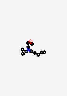 c1ccc(-c2ccccc2-c2cccc(N(c3ccc(-c4ccc(-c5cccc(-c6ccc7ccccc7c6)c5)cc4)cc3)c3ccc(-c4cccc5oc6ccccc6c45)cc3)c2)cc1